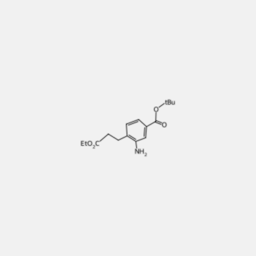 CCOC(=O)CCc1ccc(C(=O)OC(C)(C)C)cc1N